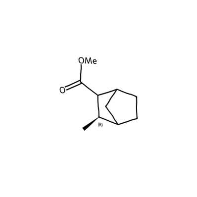 COC(=O)C1C2CCC(C2)[C@H]1C